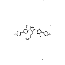 OCCCn1c(-c2ccc(C3=CCNCC3)cc2F)nnc1-c1ccc(C2=CCNCC2)cc1F